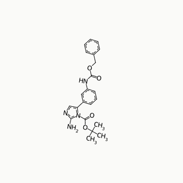 CC(C)(C)OC(=O)n1c(-c2cccc(NC(=O)OCc3ccccc3)c2)cnc1N